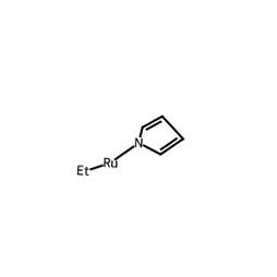 C[CH2][Ru][n]1cccc1